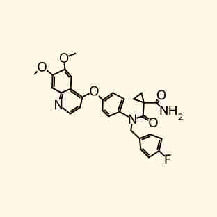 COc1cc2nccc(Oc3ccc(N(Cc4ccc(F)cc4)C(=O)C4(C(N)=O)CC4)cc3)c2cc1OC